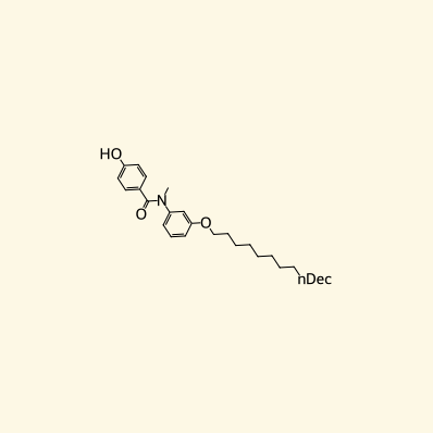 CCCCCCCCCCCCCCCCCCOc1cccc(N(C)C(=O)c2ccc(O)cc2)c1